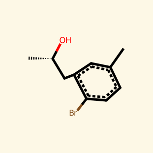 Cc1ccc(Br)c(C[C@H](C)O)c1